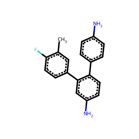 Cc1cc(-c2cc(N)ccc2-c2ccc(N)cc2)ccc1F